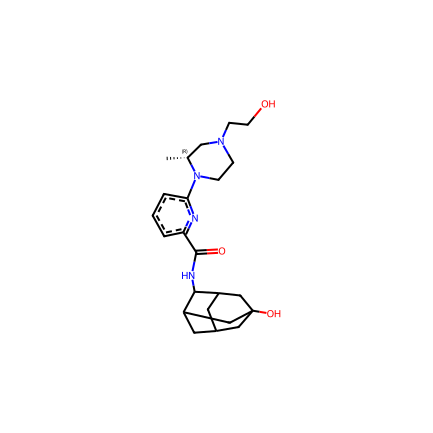 C[C@@H]1CN(CCO)CCN1c1cccc(C(=O)NC2C3CC4CC2CC(O)(C4)C3)n1